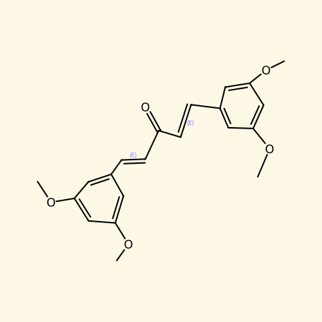 COc1cc(/C=C/C(=O)/C=C/c2cc(OC)cc(OC)c2)cc(OC)c1